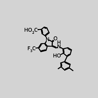 Cc1cc(C)cc(-c2cccc(NC=C3C(=O)N(c4cccc(C(=O)O)c4)c4cc(C(F)(F)F)ccc43)c2O)c1